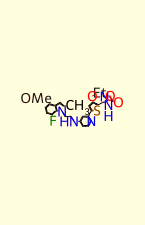 CCOc1cc(-c2cc(NCCn3c(C)cc4c(OC)ccc(F)c43)ccn2)sc1-c1noc(=O)[nH]1